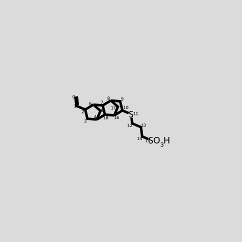 C=CC1CC2CC1C1C3CC(SCCCS(=O)(=O)O)C(C3)C21